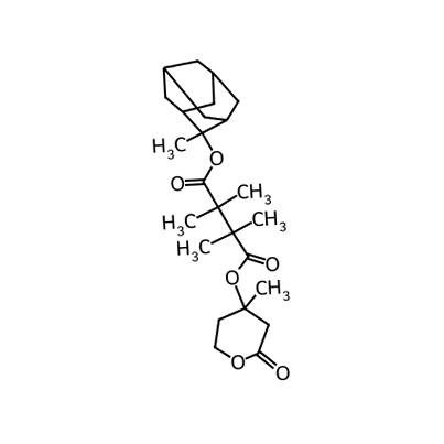 CC1(OC(=O)C(C)(C)C(C)(C)C(=O)OC2(C)C3CC4CC(C3)CC2C4)CCOC(=O)C1